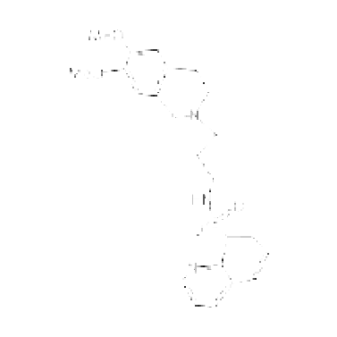 COc1cc2c(cc1OC)CN(CCCNS(=O)(=O)c1cccc3cccnc13)CC2